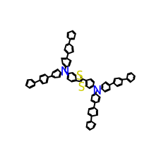 c1ccc(-c2ccc(-c3ccc(N(c4ccc(-c5ccc(-c6ccccc6)cc5)cc4)c4ccc5c(c4)sc4c6ccc(N(c7ccc(-c8ccc(-c9ccccc9)cc8)cc7)c7ccc(-c8ccc(-c9ccccc9)cc8)cc7)cc6sc54)cc3)cc2)cc1